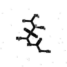 CC(Cl)[C@H](C)S(=O)(=O)C(C)NC(=O)OC(C)(C)C